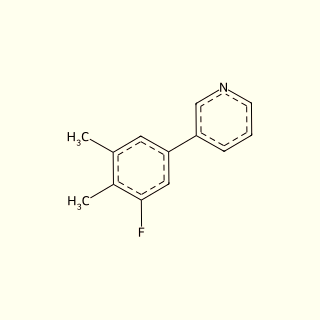 Cc1cc(-c2cccnc2)cc(F)c1C